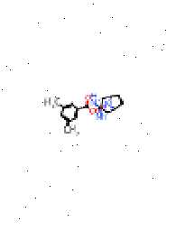 Cc1cc(C)cc(C(=O)OC2CC3CCC(C2)N3C(=N)N)c1